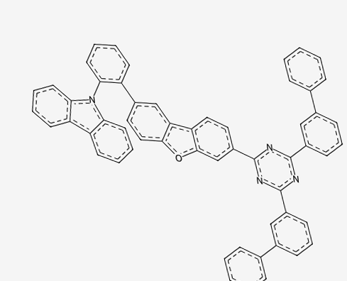 c1ccc(-c2cccc(-c3nc(-c4cccc(-c5ccccc5)c4)nc(-c4ccc5c(c4)oc4ccc(-c6ccccc6-n6c7ccccc7c7ccccc76)cc45)n3)c2)cc1